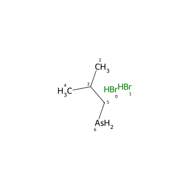 Br.Br.CC(C)C[AsH2]